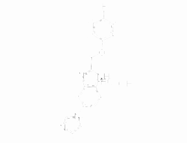 Cl.Cl.Fc1ccc(OCc2nc3cc(-n4ccnc4)ccc3[nH]2)cc1